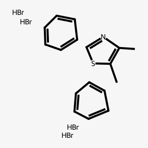 Br.Br.Br.Br.Cc1ncsc1C.c1ccccc1.c1ccccc1